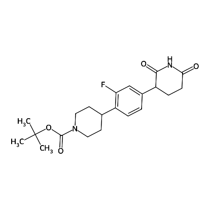 CC(C)(C)OC(=O)N1CCC(c2ccc(C3CCC(=O)NC3=O)cc2F)CC1